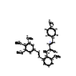 COc1cccc(C=Cc2cc(OC)c(OC)c(OC)c2)c1NC(=O)/C=C/c1ccc(N)cc1